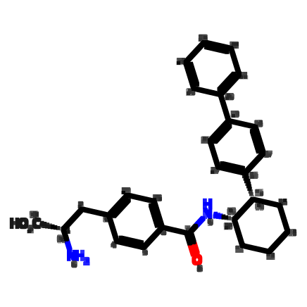 N[C@@H](Cc1ccc(C(=O)N[C@H]2CCCC[C@H]2c2ccc(-c3ccccc3)cc2)cc1)C(=O)O